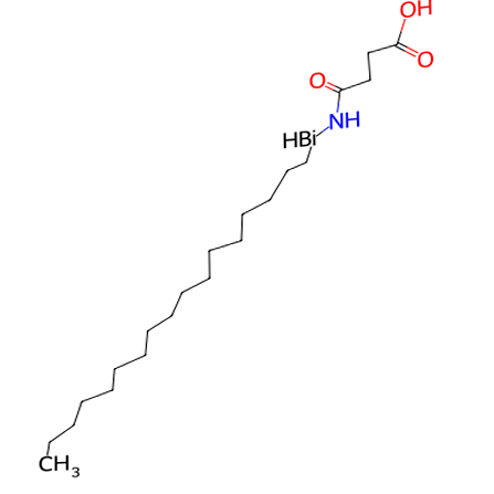 CCCCCCCCCCCCCCCC[CH2][BiH][NH]C(=O)CCC(=O)O